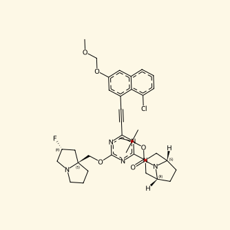 COCOc1cc(C#Cc2nc(OC[C@@]34CCCN3C[C@H](F)C4)nc(N3C[C@H]4CC[C@@H](C3)N4C(=O)OC(C)(C)C)n2)c2c(Cl)cccc2c1